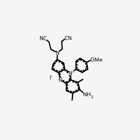 COc1ccc(-[n+]2c3cc(N(CCC#N)CCC#N)ccc3nc3cc(C)c(N)c(C)c32)cc1.[I-]